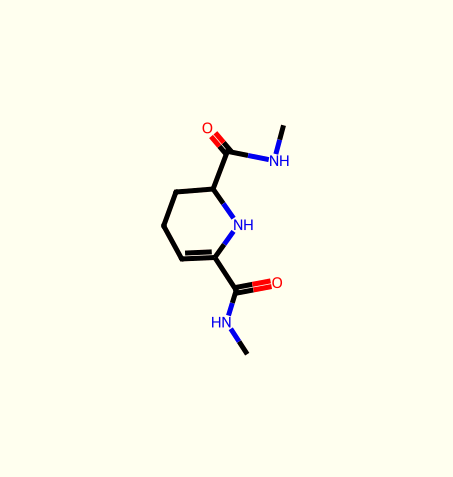 CNC(=O)C1=CCCC(C(=O)NC)N1